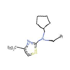 CCOC(=O)c1csc(N(CC(C)C)C2CCCC2)n1